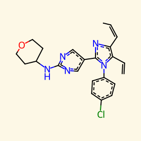 C=Cc1c(/C=C\C)nc(-c2cnc(NC3CCOCC3)nc2)n1-c1ccc(Cl)cc1